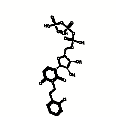 O=c1ccn([C@@H]2O[C@H](COP(=O)(O)OP(=O)(O)OP(=O)(O)O)[C@H](O)[C@@H]2O)c(=O)n1CCc1ccccc1Cl